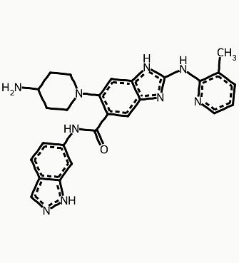 Cc1cccnc1Nc1nc2cc(C(=O)Nc3ccc4cn[nH]c4c3)c(N3CCC(N)CC3)cc2[nH]1